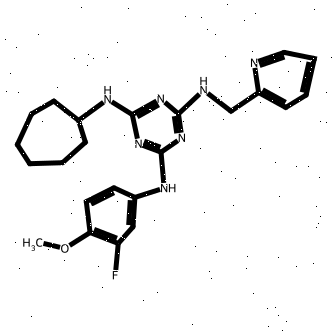 COc1ccc(Nc2nc(NCc3ccccn3)nc(NC3CCCCCC3)n2)cc1F